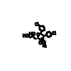 OCC(O)C[C@@H]1O[C@@H](c2cccc(Cl)c2)[C@@H](c2ccc(Cl)cc2)N(CC2CC2)[C@H]1O